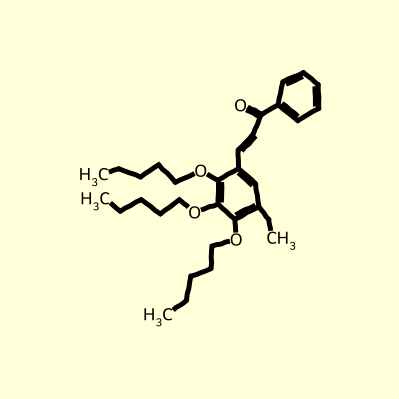 CCCCCOc1c(C=CC(=O)c2ccccc2)cc(CC)c(OCCCCC)c1OCCCCC